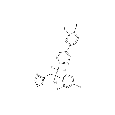 OC(Cn1cnnn1)(c1ccc(F)cc1F)C(F)(F)c1ccc(-c2ccc(F)c(F)c2)cn1